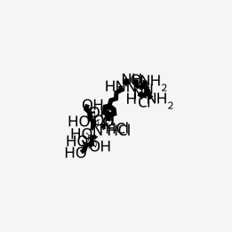 Cl.Cl.N=C(NCCCCc1ccc(OCCN(C[C@@H](O)[C@H](O)[C@H](O)CO)C[C@@H](O)[C@H](O)[C@H](O)CO)cc1)NC(=O)c1nc(Cl)c(N)nc1N